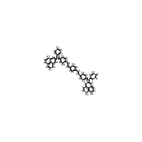 C1=Cc2cc(N(c3ccccc3)c3ccc(C=Cc4ccc(C=Cc5ccc(N(c6ccccc6)c6cc7c8c(cccc8c6)CC=C7)cc5)cc4)cc3)cc3cccc(c23)C1